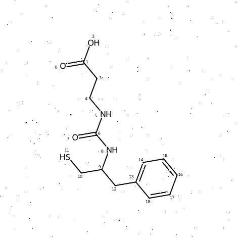 O=C(O)CCNC(=O)NC(CS)Cc1ccccc1